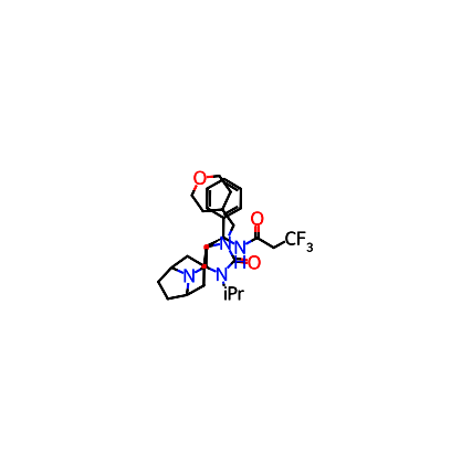 CC(C)N1C(=O)N(CC2CCOCC2)CC12CC1CCC(C2)N1CC[C@H](NC(=O)CC(F)(F)F)c1ccccc1